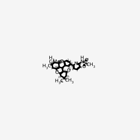 COc1ccc(-c2cccc(NS(C)(=O)=O)n2)cc1C1C2=C(CC(C)(C)CC2=O)OC2=C1C(=O)CC(C)(C)C2